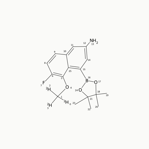 [2H]C([2H])([2H])Oc1c(F)ccc2cc(N)cc(B3OC(C)(C)C(C)(C)O3)c12